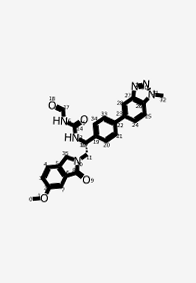 COc1ccc2c(c1)C(=O)N(C[C@H](NC(=O)NC=O)c1ccc(-c3ccc4c(c3)nnn4C)cc1)C2